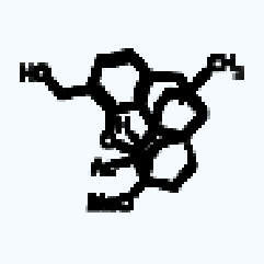 CO[C@]12CC[C@@]3(C[C@@H]1C(C)=O)C1Cc4ccc(CO)c5c4[C@@]3(CCN1C)C2O5